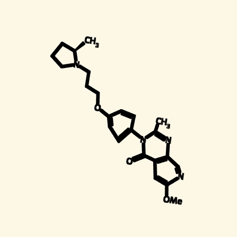 COc1cc2c(=O)n(-c3ccc(OCCCN4CCC[C@H]4C)cc3)c(C)nc2cn1